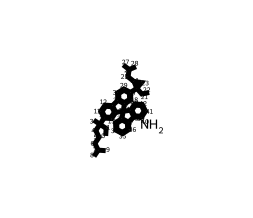 CCC(C)(CCCC(C)C)c1ccc2c(c1)C1(c3cc(C4(CC)CC4CC(C)C)ccc3-2)c2ccccc2-c2c(N)cccc21